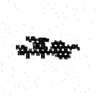 C=CCOc1ccc2ccccc2c1-c1c(OCCCC(=O)N[C@H](CCCCNC(=N)N=C)C(=O)N[C@@H](CC=C)C(=O)OC)ccc2ccccc12